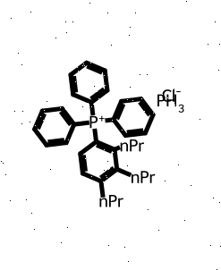 CCCc1ccc([P+](c2ccccc2)(c2ccccc2)c2ccccc2)c(CCC)c1CCC.P.[Cl-]